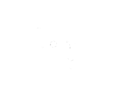 COCCCOc1cc(C[C@@H](C[C@H](N)[C@@H](O)CNC(=O)C(C)(C)N2CCCCC2)C(C)C)ccc1OC.Cl.Cl